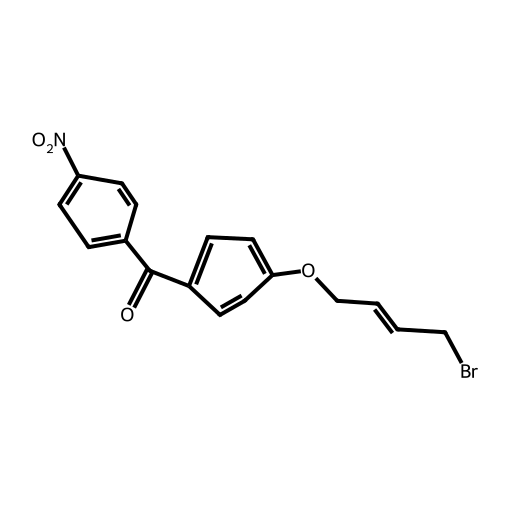 O=C(c1ccc(OCC=CCBr)cc1)c1ccc([N+](=O)[O-])cc1